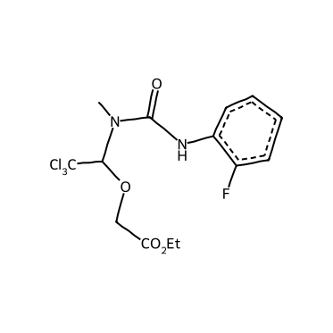 CCOC(=O)COC(N(C)C(=O)Nc1ccccc1F)C(Cl)(Cl)Cl